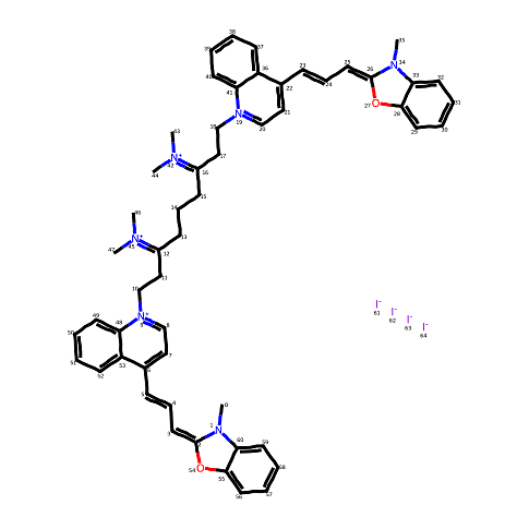 CN1C(=CC=Cc2cc[n+](CCC(CCCC(CC[n+]3ccc(C=CC=C4Oc5ccccc5N4C)c4ccccc43)=[N+](C)C)=[N+](C)C)c3ccccc23)Oc2ccccc21.[I-].[I-].[I-].[I-]